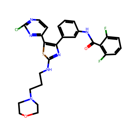 O=C(Nc1cccc(-c2nc(NCCCN3CCOCC3)sc2-c2ccnc(Cl)n2)c1)c1c(F)cccc1F